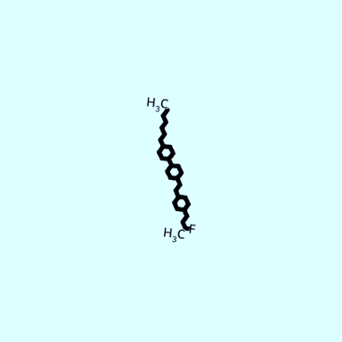 CCCCCCCC1CCC(C2CCC(CCC3CCC(CCC(C)F)CC3)CC2)CC1